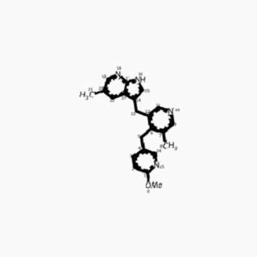 COc1ccc(Cc2c(C)[c]ncc2Cc2c[nH]c3ncc(C)cc23)cn1